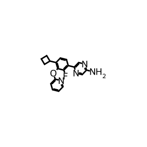 Nc1cnc(-c2ccc(C3CCC3)c(Oc3ccccn3)c2F)cn1